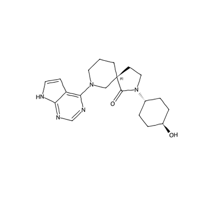 O=C1N([C@H]2CC[C@H](O)CC2)CC[C@@]12CCCN(c1ncnc3[nH]ccc13)C2